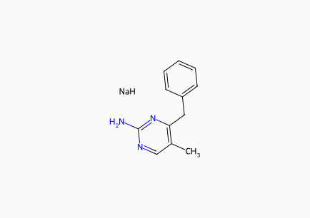 Cc1cnc(N)nc1Cc1ccccc1.[NaH]